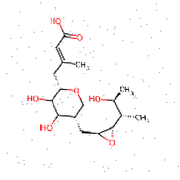 C/C(=C\C(=O)O)C[C@@H]1OC[C@H](C[C@@H]2O[C@H]2[C@@H](C)[C@H](C)O)C(O)C1O